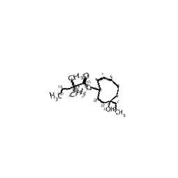 CCC1(O)CCCCCC(OC(=O)C(C)(C)CC)CC1